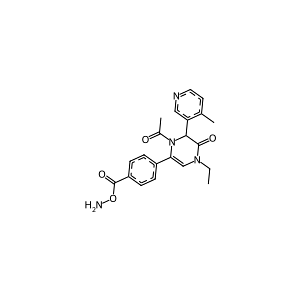 CCN1C=C(c2ccc(C(=O)ON)cc2)N(C(C)=O)C(c2cnccc2C)C1=O